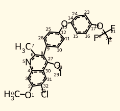 COc1cc2nc(C)c(-c3ccc(Oc4ccc(OC(F)(F)F)cc4)cc3)c(OI)c2cc1Cl